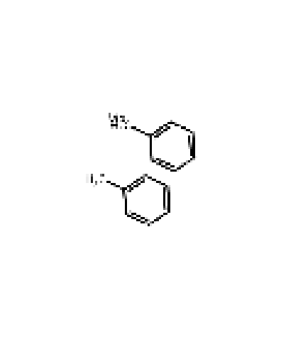 Cc1ccccc1.Cc1ccccc1.[Mo]